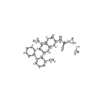 Cc1ccnc(-c2ccccc2)c1-c1cc2cc(NC(=O)[C@H]3C[C@@H]3CC#N)ncc2c(N)n1